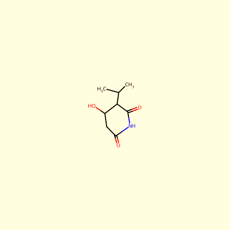 CC(C)C1C(=O)NC(=O)CC1O